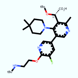 Cc1ncc(-c2cnc(OCCNC(C)(C)C)c(F)c2)c(N2CCC(C)(C)CC2)c1[C@H](OC(C)(C)C)C(=O)O